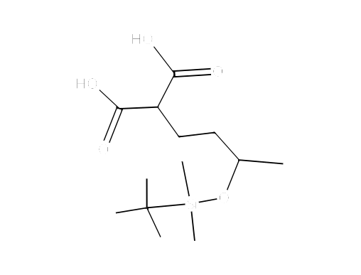 CC(CCC(C(=O)O)C(=O)O)O[Si](C)(C)C(C)(C)C